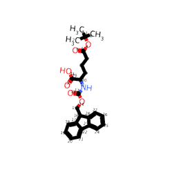 CC(C)(C)OC(=O)CCCC(NC(=O)OCC1c2ccccc2-c2ccccc21)C(=O)O